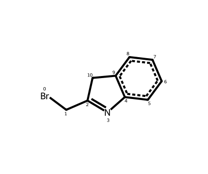 BrCC1=Nc2ccccc2C1